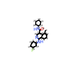 Cc1cccc2c(Nc3cccc(F)c3)ncc(C(=O)NC3CCCCC3)c12